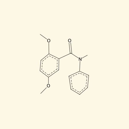 COc1ccc(OC)c(C(=O)N(C)c2ccccc2)c1